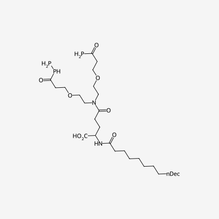 CCCCCCCCCCCCCCCCCC(=O)NC(CCC(=O)N(CCOCCC(=O)P)CCOCCC(=O)PP)C(=O)O